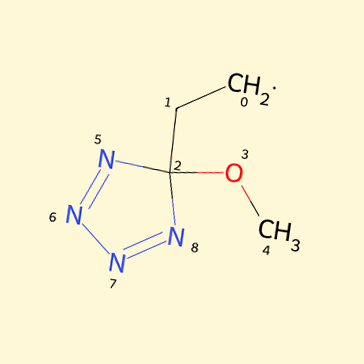 [CH2]CC1(OC)N=NN=N1